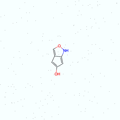 Oc1cc2co[nH]c-2c1